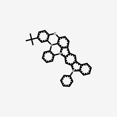 CC(C)(C)c1ccc2c(c1)B1c3ccccc3-n3c4cc5c(cc4c4ccc(c1c43)O2)c1ccccc1n5-c1ccccc1